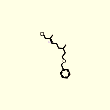 C/C(=C\CCC(C)CCOCc1ccccc1)CCl